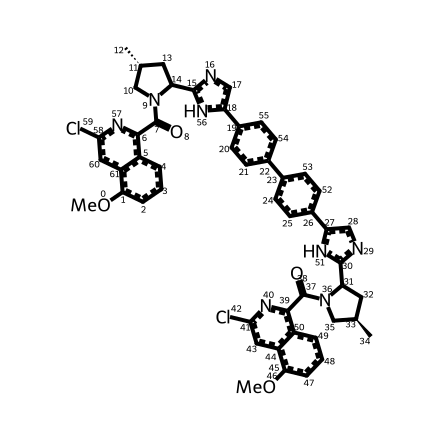 COc1cccc2c(C(=O)N3C[C@H](C)CC3c3ncc(-c4ccc(-c5ccc(-c6cnc(C7C[C@@H](C)CN7C(=O)c7nc(Cl)cc8c(OC)cccc78)[nH]6)cc5)cc4)[nH]3)nc(Cl)cc12